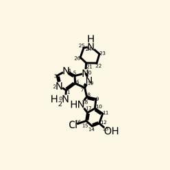 Nc1ncnc2c1c(-c1cc3cc(O)cc(Cl)c3[nH]1)nn2C1CCNCC1